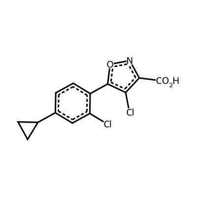 O=C(O)c1noc(-c2ccc(C3CC3)cc2Cl)c1Cl